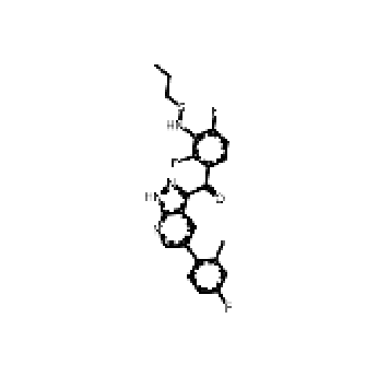 CCCSNc1c(F)ccc(C(=O)c2n[nH]c3ncc(-c4ccc(F)cc4C)cc23)c1F